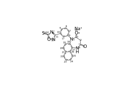 O=C1CC(=O)N(c2cccc(-c3noc(=S)[n-]3)c2)c2ccc3ccccc3c2N1.[Na+]